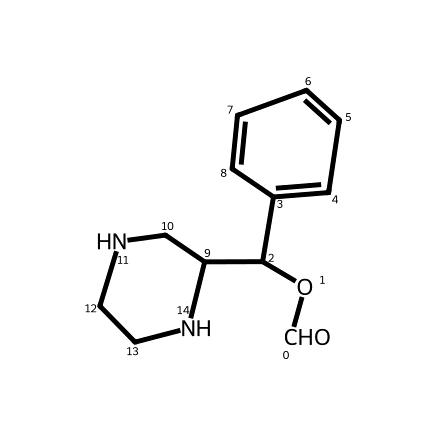 O=COC(c1ccccc1)C1CNCCN1